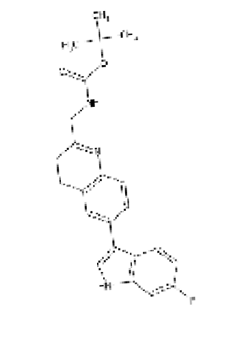 CC(C)(C)OC(=O)NCC1=Nc2ccc(-c3c[nH]c4cc(F)ccc34)cc2CC1